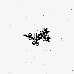 CCCC(=O)OCCN[C@@H](Cc1ccc(OC(=O)OC(C)C(C)C)c(OC(=O)OC(C)C(C)C)c1)C(=O)OC